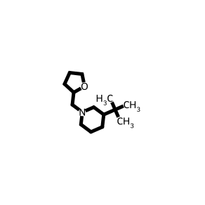 CC(C)(C)C1CCCN(CC2CCCO2)C1